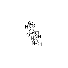 COc1cc(NS(C)(=O)=O)ccc1-c1nc2ncc(Cl)cc2[nH]1.Cl